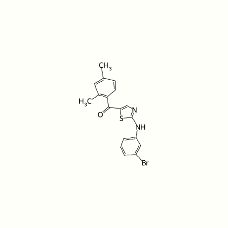 Cc1ccc(C(=O)c2cnc(Nc3cccc(Br)c3)s2)c(C)c1